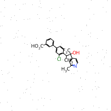 Cc1cc(C(O)(C(C)c2ccc(-c3cccc(C(=O)O)c3)cc2Cl)C(F)(F)F)ccn1